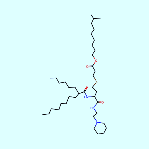 CCCCCCCCC(CCCCCC)C(=O)NC(CCSCCC(=O)OCCCCCCCC(C)C)C(=O)NCCN1CCCCC1